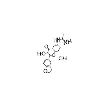 CC(=N)Nc1ccc2oc(-c3ccc4c(c3)CCO4)c(O)c(=O)c2c1.Cl